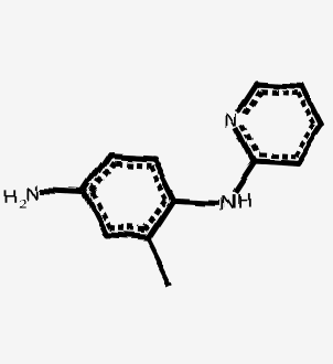 Cc1cc(N)ccc1Nc1ccccn1